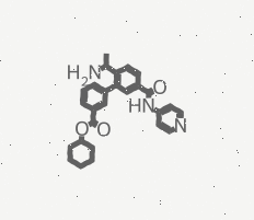 CC(N)c1ccc(C(=O)Nc2ccncc2)cc1-c1cccc(C(=O)OC2CCCCC2)c1